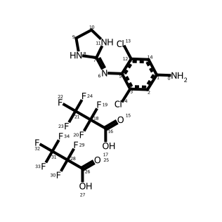 Nc1cc(Cl)c(N=C2NCCN2)c(Cl)c1.O=C(O)C(F)(F)C(F)(F)F.O=C(O)C(F)(F)C(F)(F)F